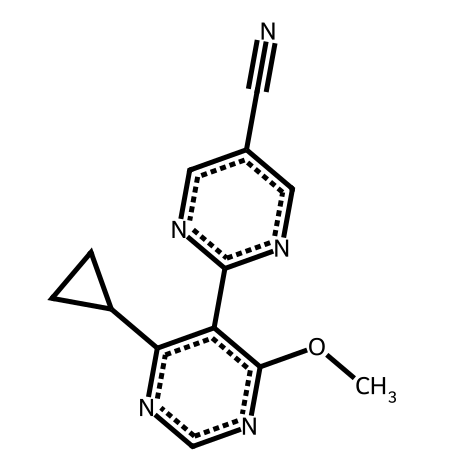 COc1ncnc(C2CC2)c1-c1ncc(C#N)cn1